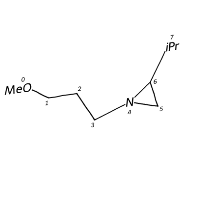 COCCCN1CC1C(C)C